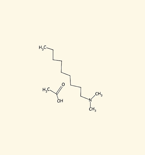 CC(=O)O.CCCCCCCCCN(C)C